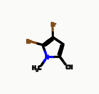 Cn1c(C#N)cc(Br)c1Br